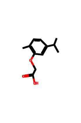 Cc1ccc(C(C)C)cc1OCC(=O)O